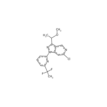 COC(C)c1nn(-c2cccc(C(C)(F)F)n2)c2cc(Cl)ncc12